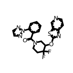 O=C(c1ccccc1-n1nccn1)N1CCC(F)(F)C(Oc2nc3ccncc3s2)C1